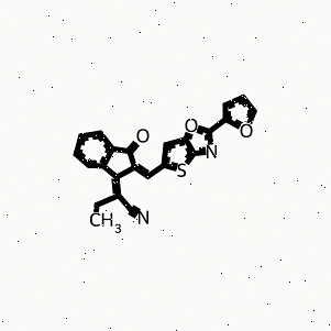 CC/C(C#N)=C1/C(=C/c2cc3oc(-c4ccco4)nc3s2)C(=O)c2ccccc21